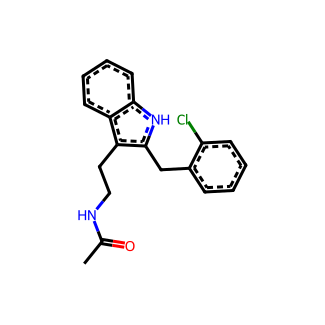 CC(=O)NCCc1c(Cc2ccccc2Cl)[nH]c2ccccc12